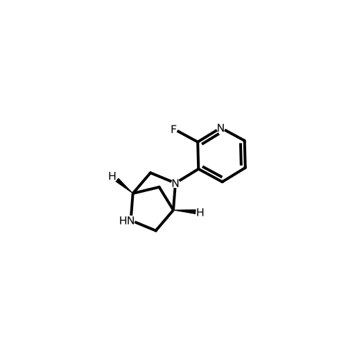 Fc1ncccc1N1C[C@@H]2C[C@H]1CN2